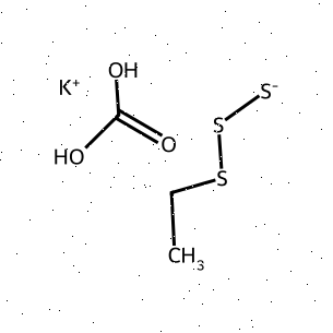 CCSS[S-].O=C(O)O.[K+]